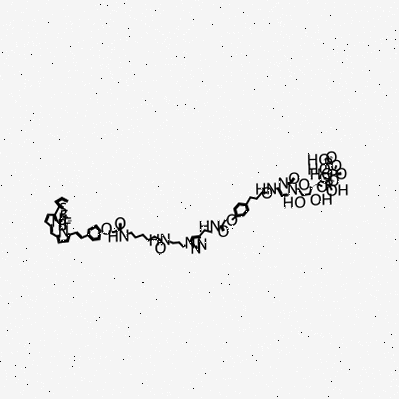 O=C(CCCCCNC(=O)COc1ccc(/C=C/c2ccc3n2[B-](F)(F)[N+]2=C(c4cccs4)C=CC2=C3)cc1)NCCCn1cc(CCNC(=O)COc2ccc(CCCONc3ccn([C@@H]4O[C@H](COP(=O)(O)OP(=O)(O)OP(=O)(O)O)[C@@H](O)[C@H]4O)c(=O)n3)cc2)nn1